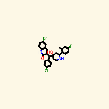 Cc1cc(F)ccc1C1CC(O)(C(c2ccc(Cl)cc2)c2cc3cc(Br)ccc3[nH]c2=O)CCN1